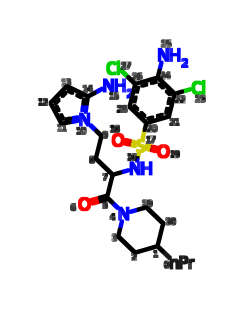 CCCC1CCN(C(=O)C(CCn2cccc2N)NS(=O)(=O)c2cc(Cl)c(N)c(Cl)c2)CC1